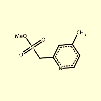 COS(=O)(=O)Cc1cc(C)ccn1